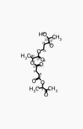 CC(=O)C(C)OC(=O)CCC(=O)OC(C)C(=O)OCCC(=O)C(C)O